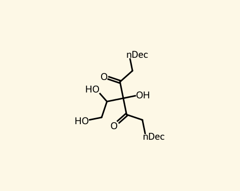 CCCCCCCCCCCC(=O)C(O)(C(=O)CCCCCCCCCCC)C(O)CO